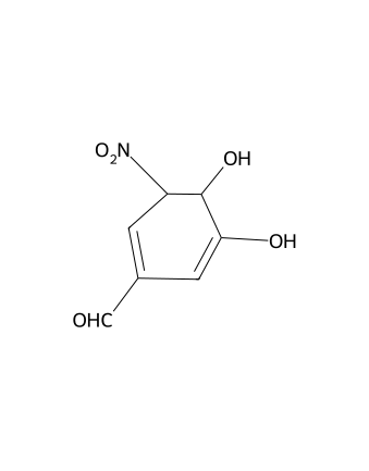 O=CC1=CC([N+](=O)[O-])C(O)C(O)=C1